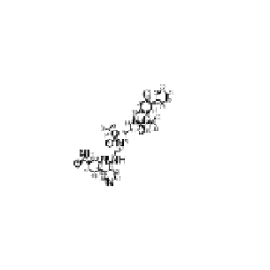 CC(C)(C)OC(=O)N(CCCCN(Cc1ccc(-c2ccccc2)c(Cl)c1)C(=O)OC(C)(C)C)CCNc1nc2cc(C(N)=O)ccc2c2cnccc12